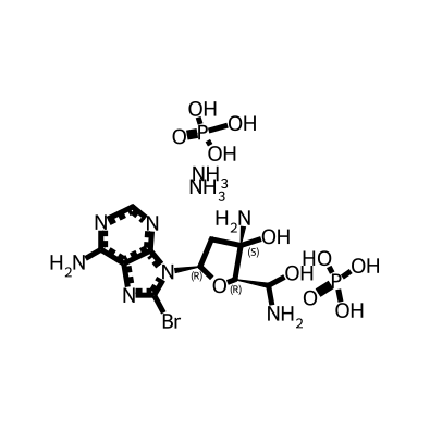 N.N.Nc1ncnc2c1nc(Br)n2[C@H]1C[C@](N)(O)[C@@H](C(N)O)O1.O=P(O)(O)O.O=P(O)(O)O